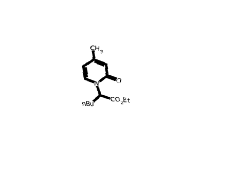 CCCCC(C(=O)OCC)n1ccc(C)cc1=O